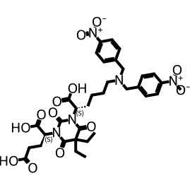 CCC1(CC)C(=O)N([C@@H](CCCCN(Cc2ccc([N+](=O)[O-])cc2)Cc2ccc([N+](=O)[O-])cc2)C(=O)O)C(=O)N([C@@H](CCC(=O)O)C(=O)O)C1=O